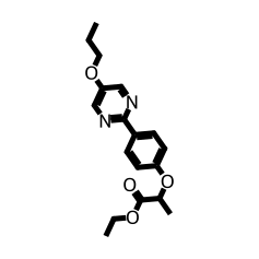 CCCOc1cnc(-c2ccc(OC(C)C(=O)OCC)cc2)nc1